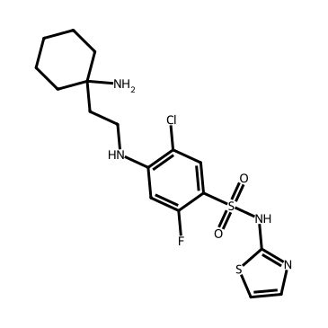 NC1(CCNc2cc(F)c(S(=O)(=O)Nc3nccs3)cc2Cl)CCCCC1